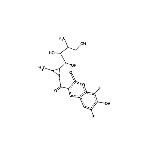 CC(CO)C(O)C(O)C1C(C)N1C(=O)c1cc2cc(F)c(O)c(F)c2oc1=O